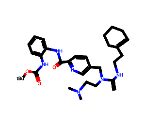 C=C(NCCC1=CCCCC1)N(CCN(C)C)Cc1ccc(C(=O)Nc2ccccc2NC(=O)OC(C)(C)C)nc1